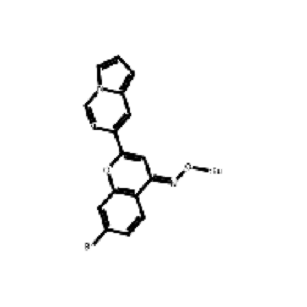 CC(C)(C)ON=c1cc(-c2cc3cccn3cn2)oc2cc(Br)ccc12